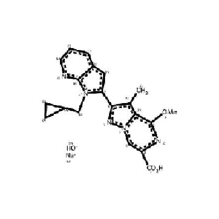 COc1nc(C(=O)O)cn2nc(-c3cc4cccnc4n3CC3CC3)c(C)c12.[Na+].[OH-]